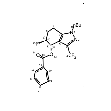 CCCCn1nc(C(F)(F)F)c2c1CC[C@H](F)[C@H]2OC(=O)c1ccccc1